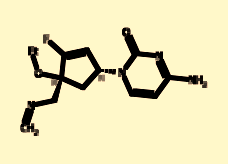 C=NC[C@]1(OCC)C[C@@H](n2ccc(N)nc2=O)C=C1F